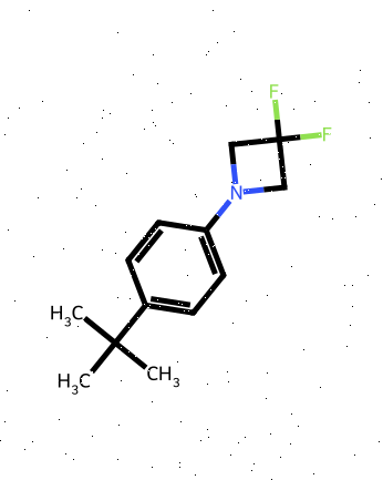 CC(C)(C)c1ccc(N2CC(F)(F)C2)cc1